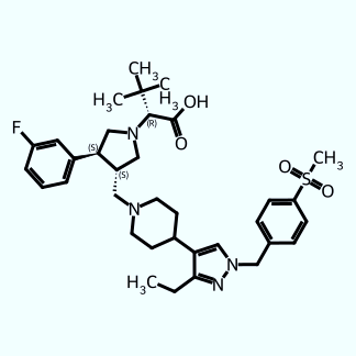 CCc1nn(Cc2ccc(S(C)(=O)=O)cc2)cc1C1CCN(C[C@H]2CN([C@@H](C(=O)O)C(C)(C)C)C[C@@H]2c2cccc(F)c2)CC1